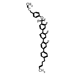 C=CCCc1ccc(OC(F)(F)c2ccc(-c3ccc(-c4ccc(-c5ccc(CC/C=C/C)cc5)cc4F)cc3F)cc2F)cc1